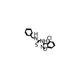 S=C(NCc1ccccc1)Nc1noc2cccc(Cl)c12